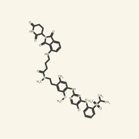 C=S(=O)(c1ccccc1Nc1nc(Nc2cc(C)c(CCN(C)C(=O)CCCNc3cccc4c3C(=O)N(C3CCC(=O)NC3=O)C4=O)cc2OC)ncc1Cl)C(C)C